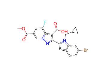 COC(=O)c1cc(F)c2c(C(=O)O)c(-c3cc4ccc(Br)cc4n3CC3CC3)nn2c1